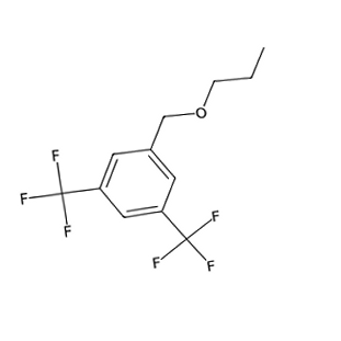 CCCOCc1cc(C(F)(F)F)cc(C(F)(F)F)c1